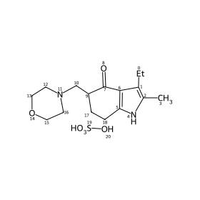 CCc1c(C)[nH]c2c1C(=O)C(CN1CCOCC1)CC2.O=S(=O)(O)O